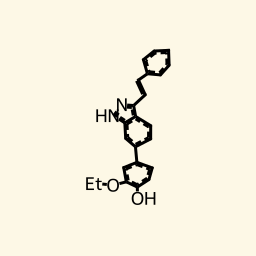 CCOc1cc(-c2ccc3c(/C=C/c4ccccc4)n[nH]c3c2)ccc1O